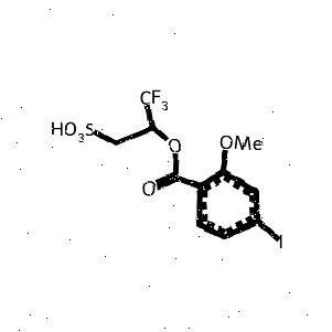 COc1cc(I)ccc1C(=O)OC(CS(=O)(=O)O)C(F)(F)F